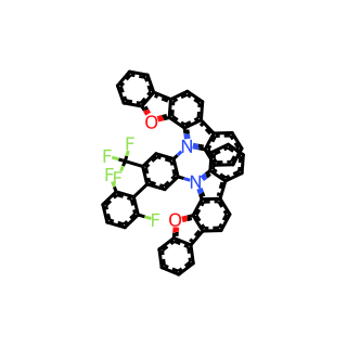 Fc1cccc(F)c1-c1cc(-n2c3ccccc3c3ccc4c5ccccc5oc4c32)c(-n2c3ccccc3c3ccc4c5ccccc5oc4c32)cc1C(F)(F)F